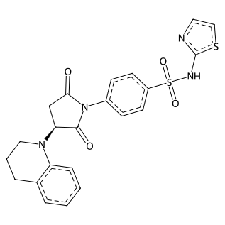 O=C1C[C@H](N2CCCc3ccccc32)C(=O)N1c1ccc(S(=O)(=O)Nc2nccs2)cc1